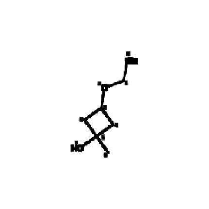 CC(C)(C)COC1CC(C)(O)C1